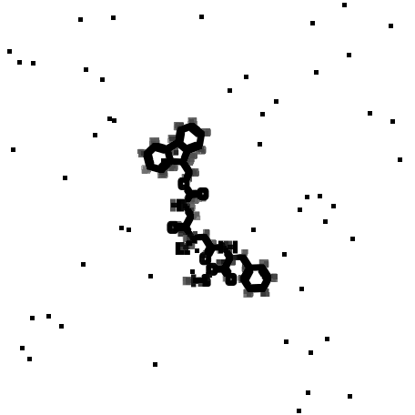 CCN(CC(=O)N[C@@H](Cc1ccccc1)C(=O)OSI)C(=O)CNC(=O)OCC1c2ccccc2-c2ccccc21